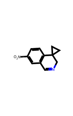 O=[N+]([O-])c1ccc2c(c1)C=NCC21CC1